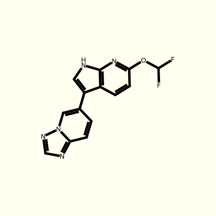 FC(F)Oc1ccc2c(-c3ccc4ncnn4c3)c[nH]c2n1